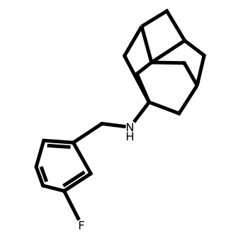 Fc1cccc(CNC23CC4CC5CC(C2)C5(C4)C3)c1